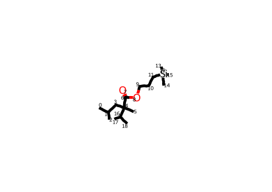 CC(C)CC(C)(C(=O)OCCC[Si](C)(C)C)C(C)C